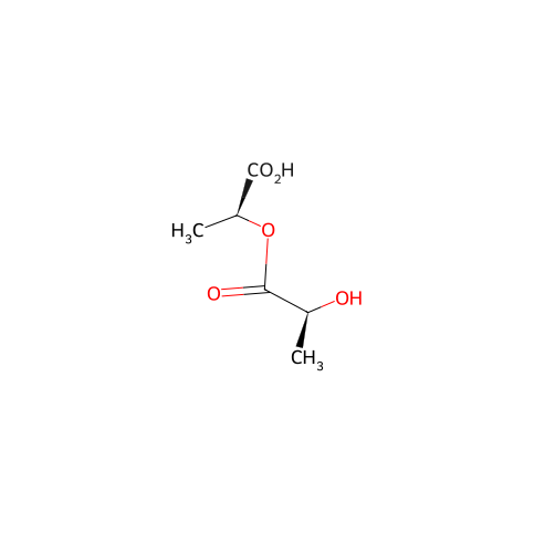 C[C@H](O)C(=O)O[C@@H](C)C(=O)O